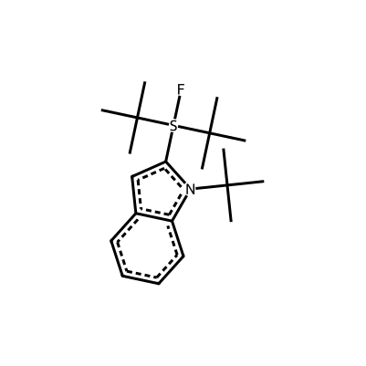 CC(C)(C)n1c(S(F)(C(C)(C)C)C(C)(C)C)cc2ccccc21